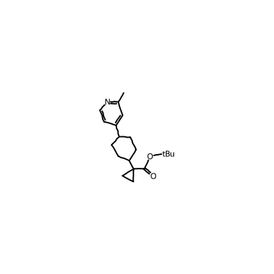 Cc1cc(C2CCC(C3(C(=O)OC(C)(C)C)CC3)CC2)ccn1